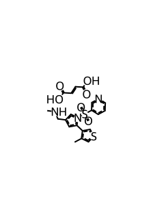 CNCc1cc(-c2cscc2C)n(S(=O)(=O)c2cccnc2)c1.O=C(O)C=CC(=O)O